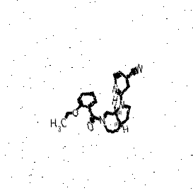 CCOc1ccccc1C(=O)N1CC[C@H]2CCN(c3cc(C#N)ccn3)[C@H]2C1